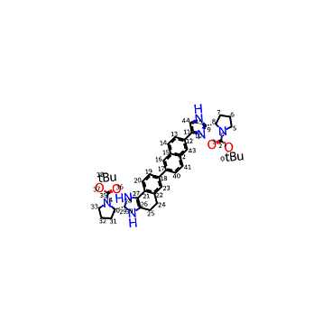 CC(C)(C)OC(=O)N1CCC[C@H]1c1nc(-c2ccc3cc(-c4ccc5c(c4)CCC4=C5NC([C@@H]5CCCN5C(=O)OC(C)(C)C)N4)ccc3c2)c[nH]1